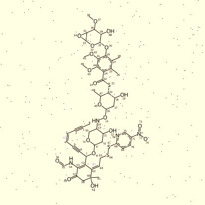 CC#C/C=C\C#CC(OC1CC(O)C(NOC2CC(O)C(SC(=O)c3c(C)c(C)c(OC4OC5OC5C(OC)C4O)c(OC)c3OC)C(C)O2)CO1)C1=C(NC=O)C(=O)CC(C)(O)/C1=C/CSSc1ccc([N+](=O)[O-])cn1